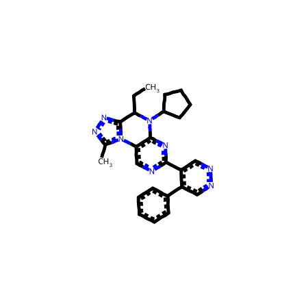 CCC1c2nnc(C)n2-c2cnc(-c3cnncc3-c3ccccc3)nc2N1C1CCCC1